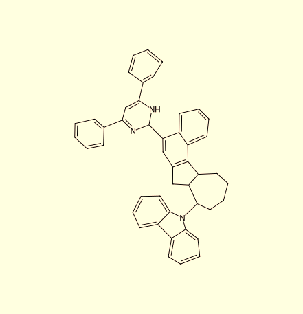 C1=C(c2ccccc2)NC(c2cc3c(c4ccccc24)C2CCCCC(n4c5ccccc5c5ccccc54)C2C3)N=C1c1ccccc1